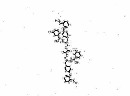 O=C(OC[C@H](Cc1ccc(Oc2ncccc2CO)cc1)NC[C@@H](O)c1cccc(Cl)c1)C(=O)OC[C@H](Cc1ccc(Oc2ncccc2CO)cc1)NC[C@@H](O)c1cccc(Cl)c1